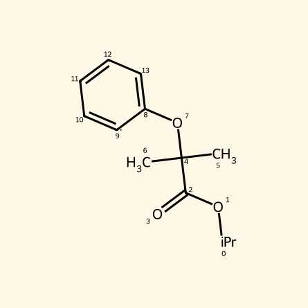 CC(C)OC(=O)C(C)(C)Oc1[c]cccc1